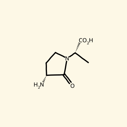 C[C@@H](C(=O)O)N1CC[C@@H](N)C1=O